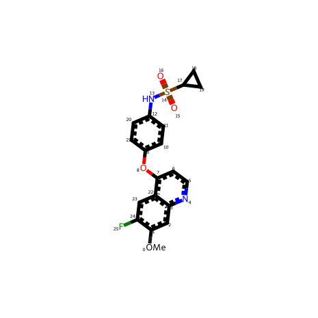 COc1cc2nccc(Oc3ccc(NS(=O)(=O)C4CC4)cc3)c2cc1F